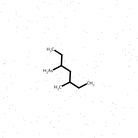 CCC(C)CC([AsH2])CC